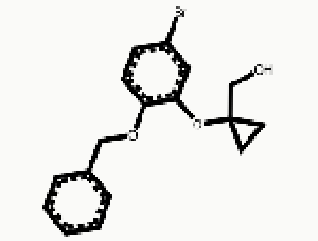 OCC1(Oc2cc(Br)ccc2OCc2ccccc2)CC1